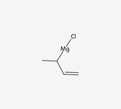 C=C[CH](C)[Mg][Cl]